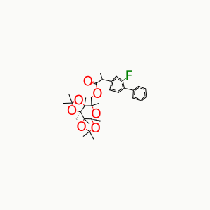 CC(C(=O)OCC1(C)O[C@]2(C)OC(C)(C)OC2(C)[C@@]2(C)OC(C)(C)O[C@]12C)c1ccc(-c2ccccc2)c(F)c1